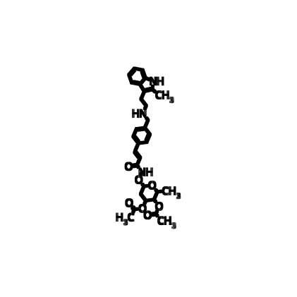 CC(=O)OC1CC(ONC(=O)/C=C/c2ccc(CNCCc3c(C)[nH]c4ccccc34)cc2)OC(C)C1OC(C)=O